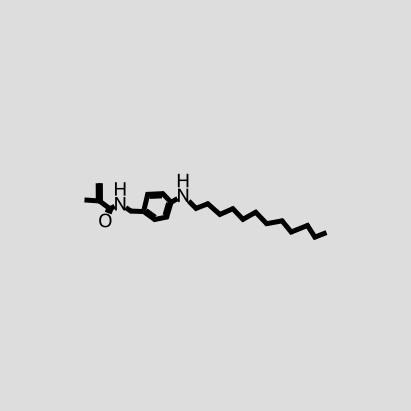 C=C(C)C(=O)NCc1ccc(NCCCCCCCCCCCC)cc1